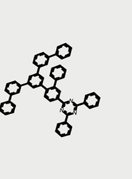 c1ccc(-c2cccc(-c3cc(-c4cccc(-c5ccccc5)c4)cc(-c4ccc(-c5nc(-c6ccccc6)nc(-c6ccccc6)n5)cc4-c4ccccc4)c3)c2)cc1